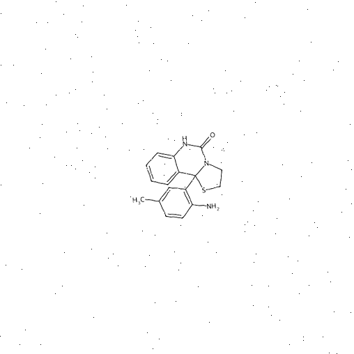 Cc1ccc(N)c(C23SCCN2C(=O)Nc2ccccc23)c1